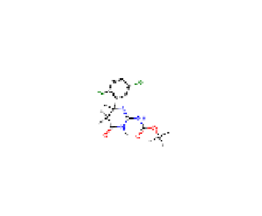 CN1C(=O)C(C)(C)C(C)(c2cc(Br)ccc2F)N=C1NC(=O)OC(C)(C)C